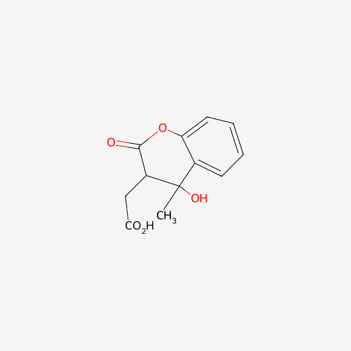 CC1(O)c2ccccc2OC(=O)C1CC(=O)O